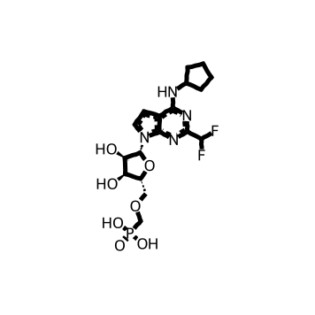 O=P(O)(O)COC[C@H]1O[C@@H](n2ccc3c(NC4CCCC4)nc(C(F)F)nc32)[C@H](O)[C@@H]1O